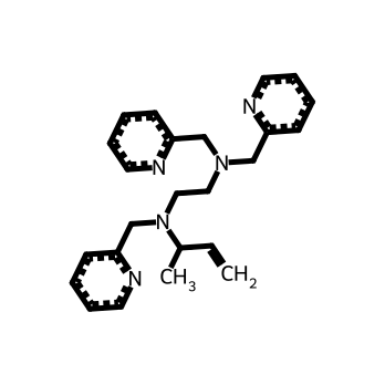 C=CC(C)N(CCN(Cc1ccccn1)Cc1ccccn1)Cc1ccccn1